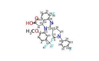 COc1ccc(C(F)(F)F)cc1N1C(C2CCN(c3ccc(F)cc3)CC2)=Nc2c(F)cccc2C1CC(=O)O